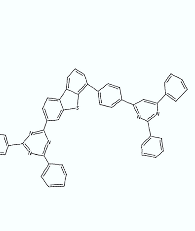 c1ccc(-c2cc(-c3ccc(-c4cccc5c4sc4cc(-c6nc(-c7ccccc7)nc(-c7ccccc7)n6)ccc45)cc3)nc(-c3ccccc3)n2)cc1